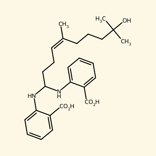 CC(=CCCC(Nc1ccccc1C(=O)O)Nc1ccccc1C(=O)O)CCCC(C)(C)O